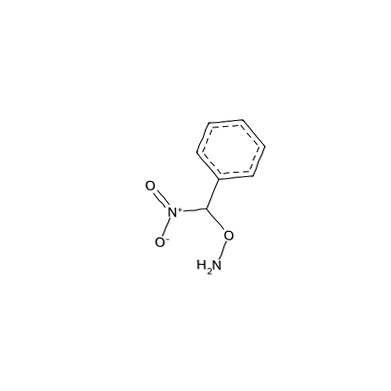 NOC(c1ccccc1)[N+](=O)[O-]